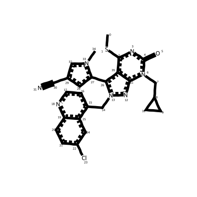 CSc1nc(=O)n(CC2CC2)c2nn(Cc3ccnc4ccc(Cl)cc34)c(-c3cc(C#N)cn3C)c12